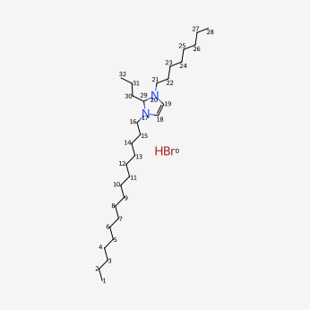 Br.CCCCCCCCCCCCCCCCN1C=CN(CCCCCCCC)C1CCC